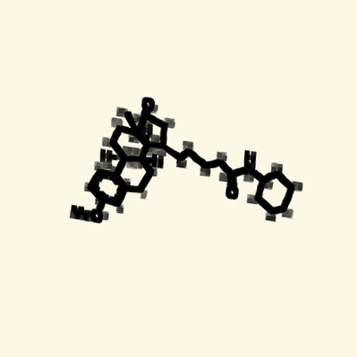 COc1ccc2c(c1)CC[C@H]1[C@@H]3[C@H](CCCCC(=O)NC4CCCCC4)CC(=O)[C@@]3(C)CC[C@H]21